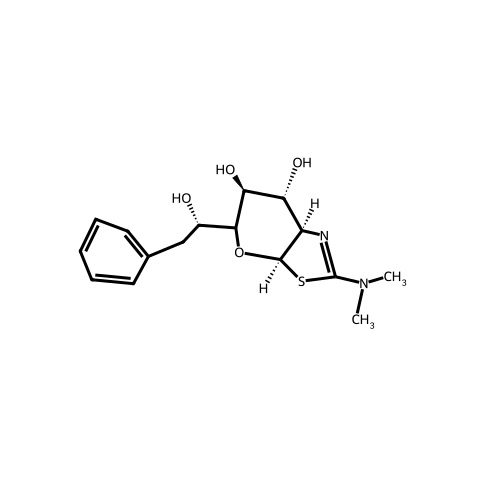 CN(C)C1=N[C@@H]2[C@@H](O)[C@H](O)C([C@@H](O)Cc3ccccc3)O[C@@H]2S1